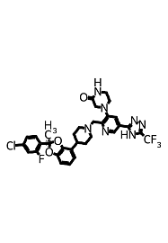 C[C@]1(c2ccc(Cl)cc2F)Oc2cccc(C3CCN(Cc4ncc(-c5nnc(C(F)(F)F)[nH]5)cc4N4CCNC(=O)C4)CC3)c2O1